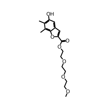 COCCOCCOCCOC(=O)c1cc2cc(O)c(C)c(C)c2o1